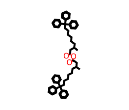 CC(CCCCCCC(c1ccccc1)(c1ccccc1)c1ccccc1)CC(=O)OC(=O)CC(C)CCCCCCC(c1ccccc1)(c1ccccc1)c1ccccc1